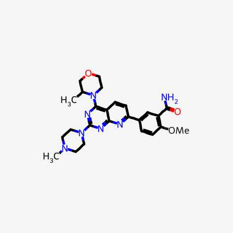 COc1ccc(-c2ccc3c(N4CCOCC4C)nc(N4CCN(C)CC4)nc3n2)cc1C(N)=O